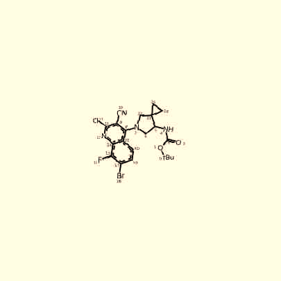 CC(C)(C)OC(=O)NC1CN(c2c(C#N)c(Cl)nc3c(F)c(Br)ccc23)CC12CC2